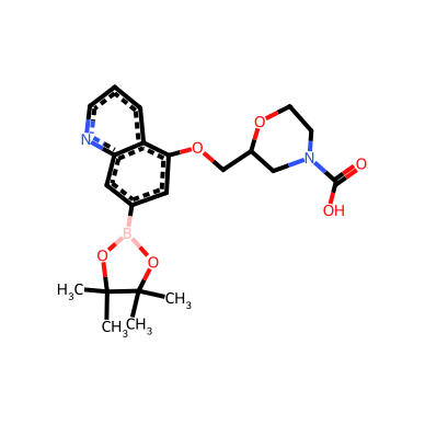 CC1(C)OB(c2cc(OCC3CN(C(=O)O)CCO3)c3cccnc3c2)OC1(C)C